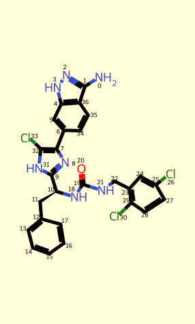 Nc1n[nH]c2cc(-c3nc([C@H](Cc4ccccc4)NC(=O)NCc4cc(Cl)ccc4Cl)[nH]c3Cl)ccc12